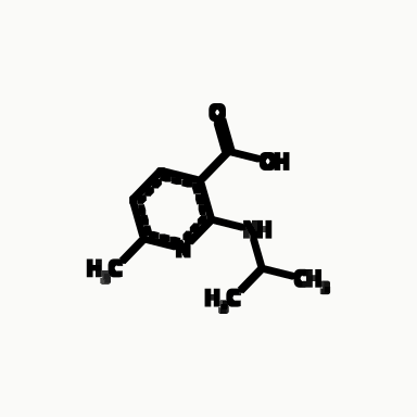 Cc1ccc(C(=O)O)c(NC(C)C)n1